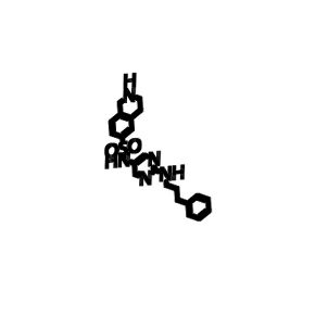 O=S(=O)(Nc1cnc(NCCCc2ccccc2)nc1)c1ccc2c(c1)CCNC2